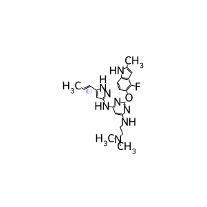 C/C=C/c1cc(Nc2cc(NCCN(C)C)nc(Oc3ccc4[nH]c(C)cc4c3F)n2)n[nH]1